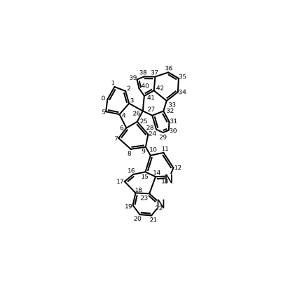 c1ccc2c(c1)-c1ccc(-c3ccnc4c3ccc3cccnc34)cc1C21c2ccccc2-c2cccc3cccc1c23